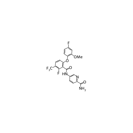 COc1cc(F)ccc1Oc1ccc(C(F)(F)F)c(F)c1C(=O)Nc1ccc(C(N)=O)nc1